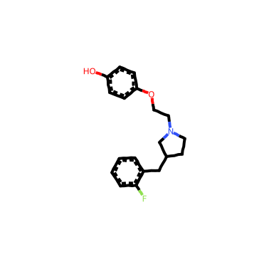 Oc1ccc(OCCN2CCC(Cc3ccccc3F)C2)cc1